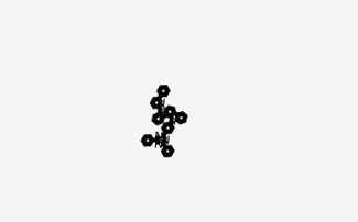 c1ccc(-c2cccc(-n3c4ccccc4c4c3ccc3c5ccccc5n(-c5ccc(-c6nc(-c7ccccc7)nc(-c7ccccc7)n6)cc5)c34)n2)cc1